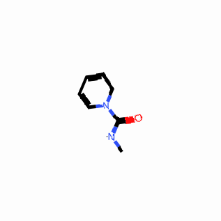 C[N]C(=O)N1C=CC=CC1